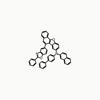 c1ccc(-c2ccc(N(c3ccc4ccccc4c3)c3ccc4oc5c6ccccc6cc(-c6ccc7oc(-c8ccccc8)nc7c6)c5c4c3)cc2)cc1